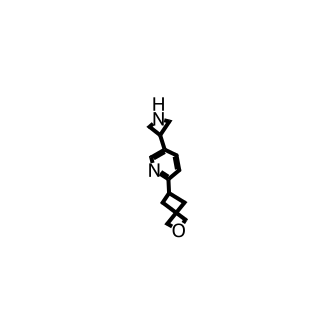 c1cc(C2CC3(COC3)C2)ncc1C1CNC1